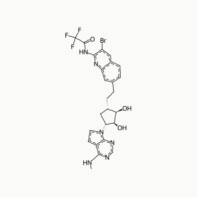 CNc1ncnc2c1ccn2[C@@H]1C[C@H](CCc2ccc3cc(Br)c(NC(=O)C(F)(F)F)nc3c2)[C@@H](O)[C@H]1O